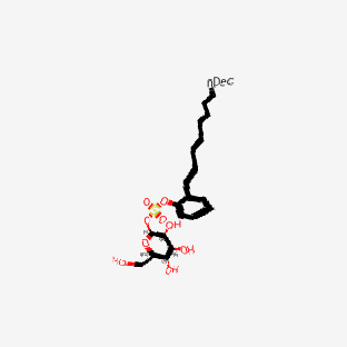 CCCCCCCCCCCCCCCCCCc1ccccc1OS(=O)(=O)O[C@@H]1O[C@H](CO)[C@@H](O)[C@H](O)[C@H]1O